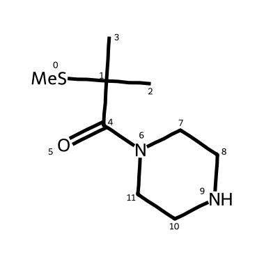 CSC(C)(C)C(=O)N1CCNCC1